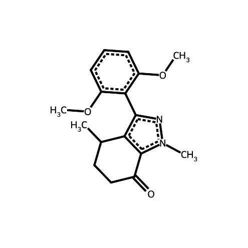 COc1cccc(OC)c1-c1nn(C)c2c1C(C)CCC2=O